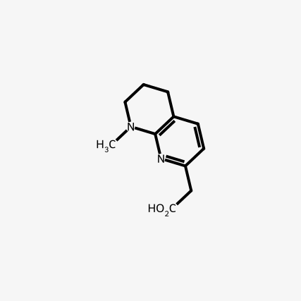 CN1CCCc2ccc(CC(=O)O)nc21